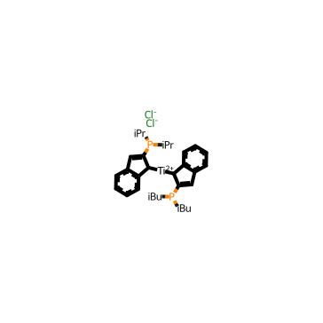 CCC(C)P(C1=Cc2ccccc2[CH]1[Ti+2][CH]1C(P(C(C)C)C(C)C)=Cc2ccccc21)C(C)CC.[Cl-].[Cl-]